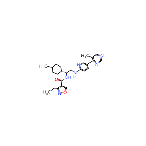 CCc1nocc1C(=O)NC(CNc1ccc(-c2ncncc2C)cn1)[C@H]1CC[C@H](C)CC1